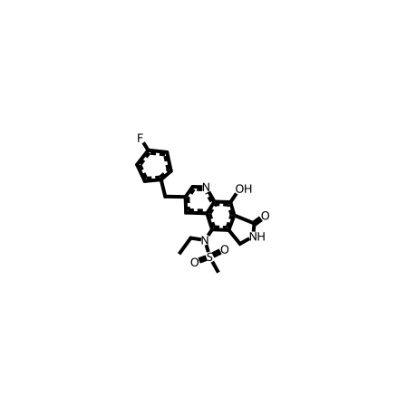 CCN(c1c2c(c(O)c3ncc(Cc4ccc(F)cc4)cc13)C(=O)NC2)S(C)(=O)=O